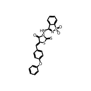 O=C1C(=Cc2ccc(Oc3ccccc3)cc2)SC(=S)N1NC1=NS(=O)(=O)c2ccccc21